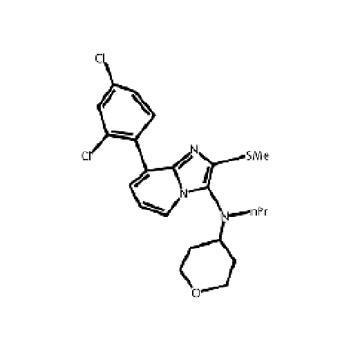 CCCN(c1c(SC)nc2c(-c3ccc(Cl)cc3Cl)cccn12)C1CCOCC1